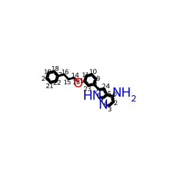 Nc1ccnc2[nH]c(-c3cccc(OCCCc4ccccc4)c3)cc12